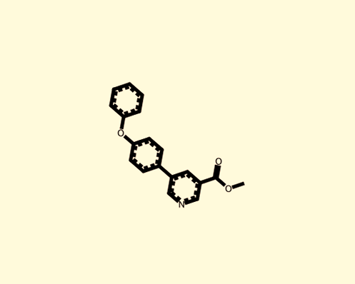 COC(=O)c1cncc(-c2ccc(Oc3ccccc3)cc2)c1